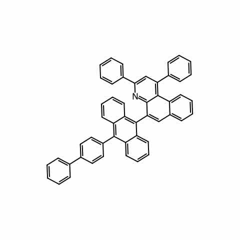 c1ccc(-c2ccc(-c3c4ccccc4c(-c4cc5ccccc5c5c(-c6ccccc6)cc(-c6ccccc6)nc45)c4ccccc34)cc2)cc1